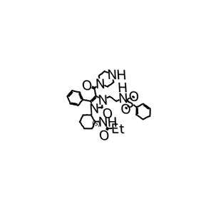 CCC(=O)N[C@H]1CCCCC1n1c(-c2ccccc2)c(C(=O)N2CCNCC2)n(CCNS(=O)(=O)C2=CCCC=C2)c1=O